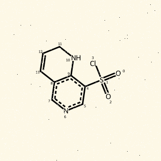 O=S(=O)(Cl)c1cncc2c1NCC=C2